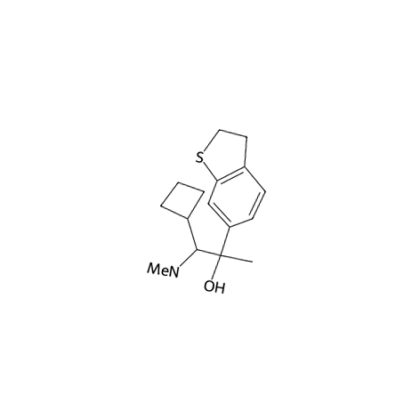 CNC(C1CCC1)C(C)(O)c1ccc2c(c1)SCC2